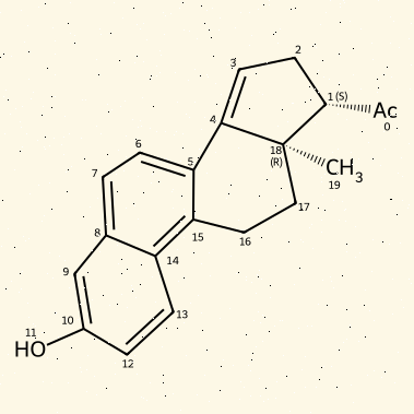 CC(=O)[C@H]1CC=C2c3ccc4cc(O)ccc4c3CC[C@@]21C